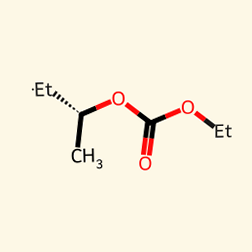 C[CH][C@@H](C)OC(=O)OCC